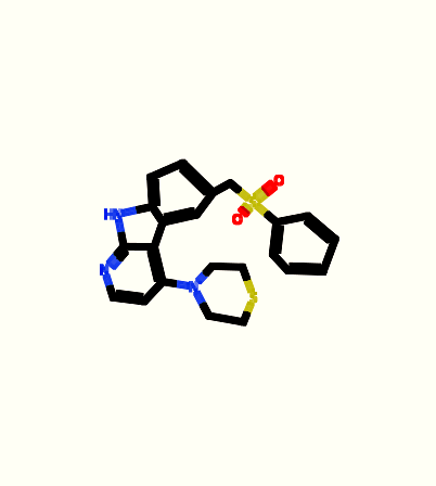 O=S(=O)(Cc1ccc2[nH]c3nccc(N4CCSCC4)c3c2c1)c1ccccc1